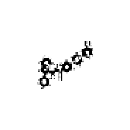 CCc1ccnc(N2CCN(c3ccc(NC(=O)C(=O)c4c(C5CCCCC5)cc5ccccn45)cc3)CC2)c1